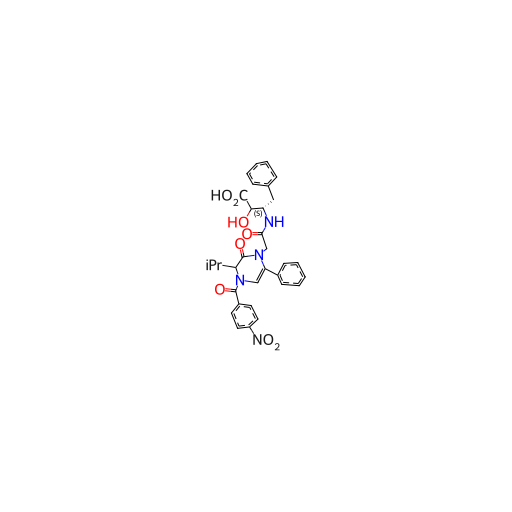 CC(C)C1C(=O)N(CC(=O)N[C@@H](Cc2ccccc2)C(O)C(=O)O)C(c2ccccc2)=CN1C(=O)c1ccc([N+](=O)[O-])cc1